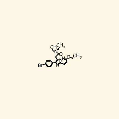 CCOc1ccc2nc(-c3ccc(Br)cc3)c(CC(=O)N(CC)CC)n2n1